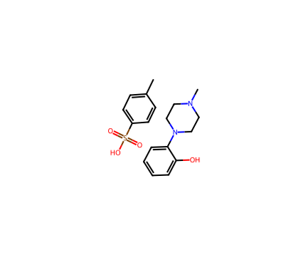 CN1CCN(c2ccccc2O)CC1.Cc1ccc(S(=O)(=O)O)cc1